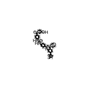 Cc1ccc(-c2ccc3c(N4CCOCC4)nc(-c4ccc(NC(=O)Nc5ccc(C(=O)N6CCC(O)C6)cc5)cc4)nc3c2)o1